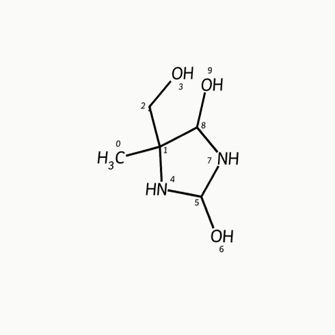 CC1([CH]O)NC(O)NC1O